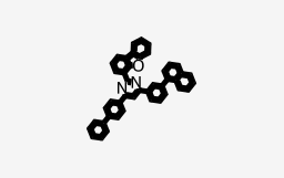 c1ccc(-c2ccc(-c3cc(-c4cccc(-c5cccc6ccccc56)c4)nc(-c4cccc5c4oc4ccccc45)n3)cc2)cc1